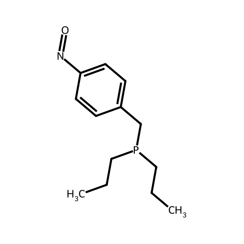 CCCP(CCC)Cc1ccc(N=O)cc1